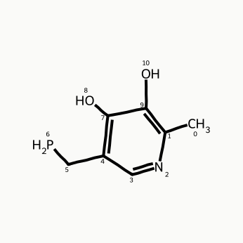 Cc1ncc(CP)c(O)c1O